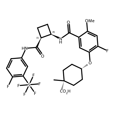 COc1cc(F)c(O[C@H]2CC[C@@](C)(C(=O)O)CC2)cc1C(=O)N[C@@H]1CC[C@@H]1C(=O)Nc1ccc(F)c(S(F)(F)(F)(F)F)c1